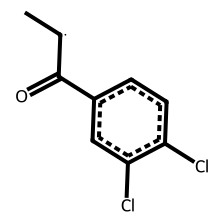 C[CH]C(=O)c1ccc(Cl)c(Cl)c1